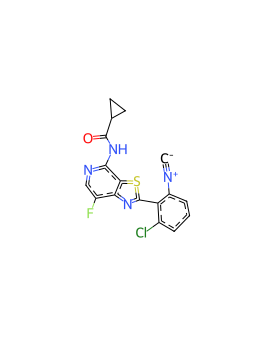 [C-]#[N+]c1cccc(Cl)c1-c1nc2c(F)cnc(NC(=O)C3CC3)c2s1